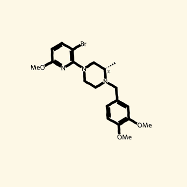 COc1ccc(Br)c(N2CCN(Cc3ccc(OC)c(OC)c3)[C@@H](C)C2)n1